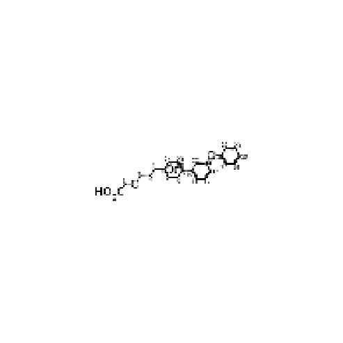 O=C(O)COCCCC12CCC(c3cccc(Oc4ccccc4)c3)(CC1)CO2